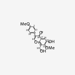 COc1ccc(-c2coc3c(CO)c(OC)c(O)cc3c2=O)cc1